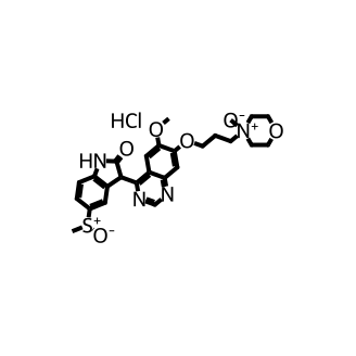 COc1cc2c(C3C(=O)Nc4ccc([S+](C)[O-])cc43)ncnc2cc1OCCC[N+]1([O-])CCOCC1.Cl